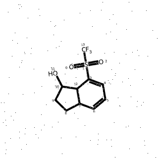 O=S(=O)(C1=CC=[C]C2CCC(O)C12)C(F)(F)F